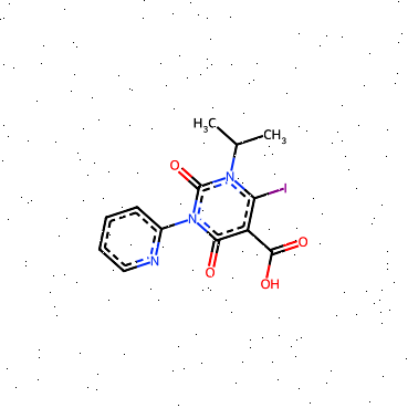 CC(C)n1c(I)c(C(=O)O)c(=O)n(-c2ccccn2)c1=O